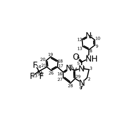 CN1CCN(C(=O)Nc2ccncc2)c2nc(-c3cccc(C(F)(F)F)c3)ccc21